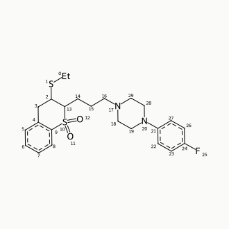 CCSC1Cc2ccccc2S(=O)(=O)C1CCCN1CCN(c2ccc(F)cc2)CC1